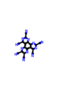 N#Cc1nc(C#N)c2c(n1)c1nc(C#N)nc(C#N)c1c1nc(C#N)c(C#N)nc12